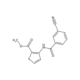 COC(=O)c1sccc1NC(=O)c1cccc(C#N)c1